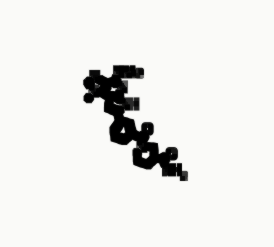 CNc1nc2[nH]c(-c3cccc(C(=O)N4CCCC(C(N)=O)C4)c3)cc2c2c1ncn2C